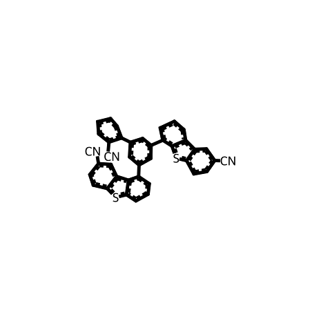 N#Cc1ccc2sc3c(-c4cc(-c5ccccc5C#N)cc(-c5cccc6sc7ccc(C#N)cc7c56)c4)cccc3c2c1